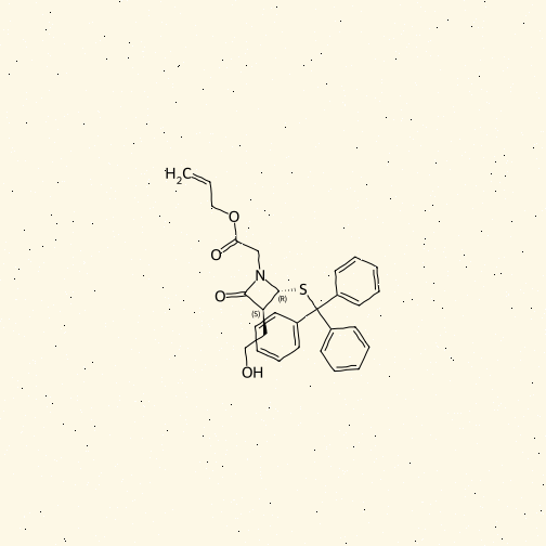 C=CCOC(=O)CN1C(=O)[C@H](CCO)[C@H]1SC(c1ccccc1)(c1ccccc1)c1ccccc1